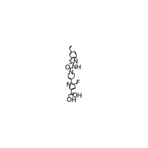 C=Cc1ccc2nc(NC(=O)N3CC=C(c4ncc([C@H](O)CO)cc4F)CC3)sc2c1